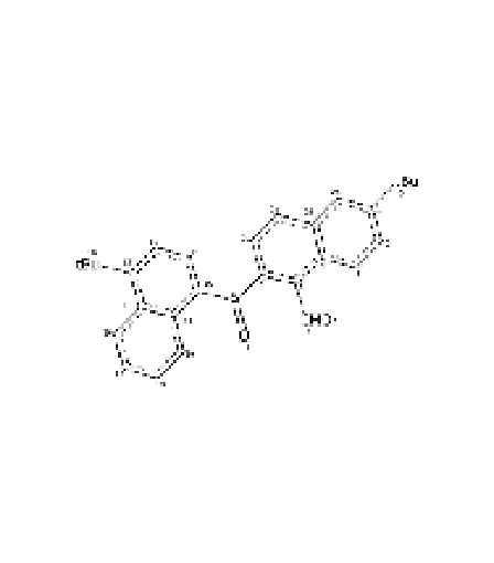 CC(C)(C)c1ccc2c([C]=O)c(C(=O)c3ccc(C(C)(C)C)c4ccccc34)ccc2c1